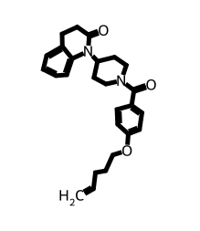 C=CCCCOc1ccc(C(=O)N2CCC(N3C(=O)CCc4ccccc43)CC2)cc1